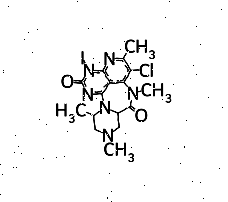 Cc1nc2c3c(nc(=O)n2I)N2C(C)CN(C)CC2C(=O)N(C)c3c1Cl